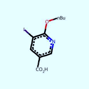 CCCCOc1ncc(C(=O)O)cc1I